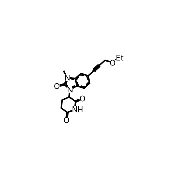 [CH2]COCC#Cc1ccc2c(c1)n(C)c(=O)n2C1CCC(=O)NC1=O